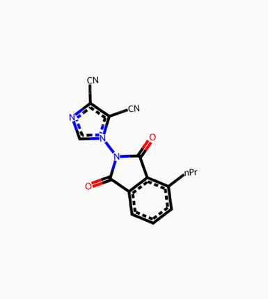 CCCc1cccc2c1C(=O)N(n1cnc(C#N)c1C#N)C2=O